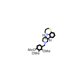 COc1ccc(CN2CC[C@@H]3[C@H](C2)c2cccc4c2N3CCCS4)c(OC)c1OC